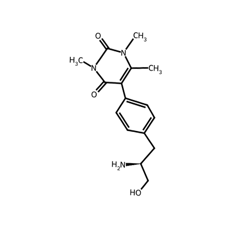 Cc1c(-c2ccc(C[C@H](N)CO)cc2)c(=O)n(C)c(=O)n1C